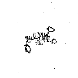 CC(C)(C)C(c1nc(-c2ccccc2)cn1Cc1ccccc1)N1CC(CNC(=O)OCc2ccccc2)OCCC1=O